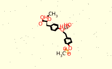 CCO[C@@H](Cc1ccc(OCCc2ccc(OS(C)(=O)=O)cc2)cc1)C(=O)O.O.[Li+].[OH-]